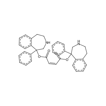 O=C(/C=C\C(=O)OC1(c2ccccc2)CNCCc2ccccc21)OC1(c2ccccc2)CNCCc2ccccc21